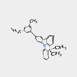 Cc1cc(C)cc(-c2ccc3c(c2)c2cccc4c2n3-c2ccccc2C4(C)C)c1